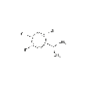 CC(C)c1cc(F)c(Cl)cc1Br